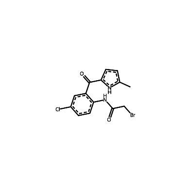 Cc1ccc(C(=O)c2cc(Cl)ccc2NC(=O)CBr)[nH]1